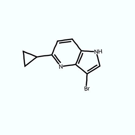 Brc1c[nH]c2ccc(C3CC3)nc12